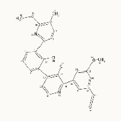 [CH2]c1ccc(-c2cccc(-c3ccnc(-c4cc(C=O)cc(OC)c4)c3Cl)c2Cl)nc1OC